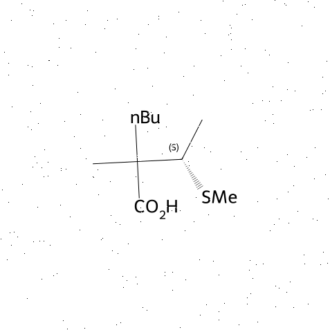 CCCCC(C)(C(=O)O)[C@H](C)SC